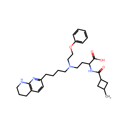 CC1CC(C(=O)NC(CCN(CCCCc2ccc3c(n2)NCCC3)CCOc2ccccc2)C(=O)O)C1